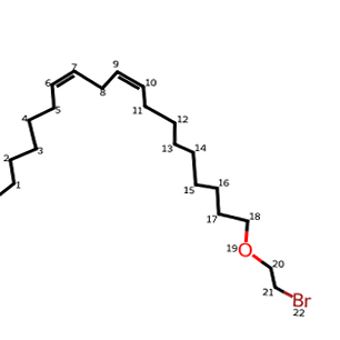 [2H]CCCCC/C=C\C/C=C\CCCCCCCCOCCBr